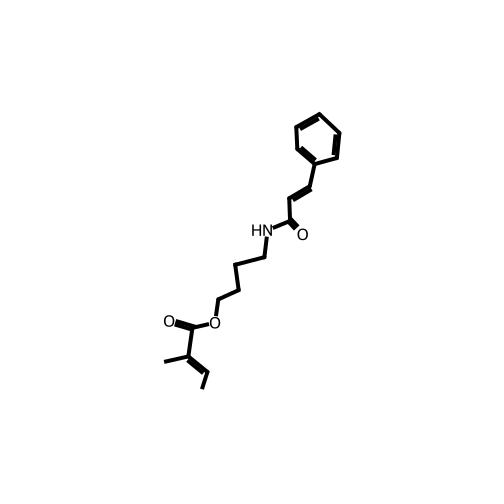 CC=C(C)C(=O)OCCCCNC(=O)C=Cc1ccccc1